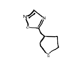 c1noc(C2CCNC2)n1